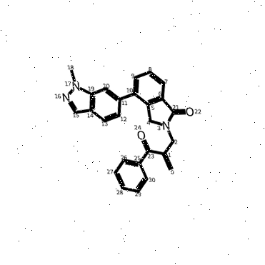 C=C(CN1Cc2c(cccc2-c2ccc3cnn(C)c3c2)C1=O)C(=O)c1ccccc1